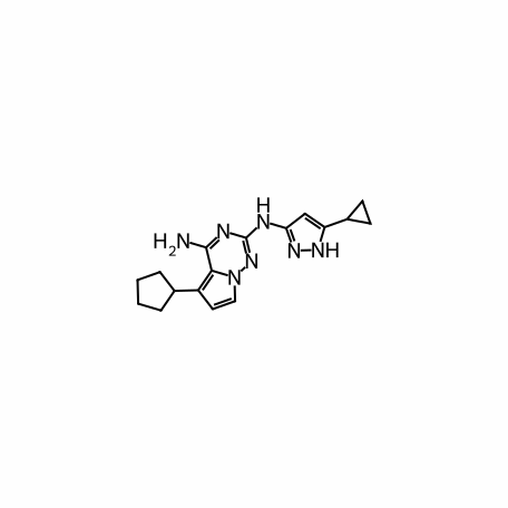 Nc1nc(Nc2cc(C3CC3)[nH]n2)nn2ccc(C3CCCC3)c12